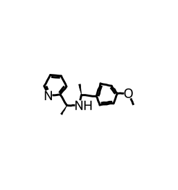 COc1ccc([C@H](C)N[C@@H](C)c2ccccn2)cc1